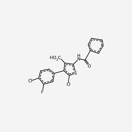 O=C(Nc1sc(Cl)c(-c2ccc(Cl)c(F)c2)c1C(=O)O)c1ccccc1